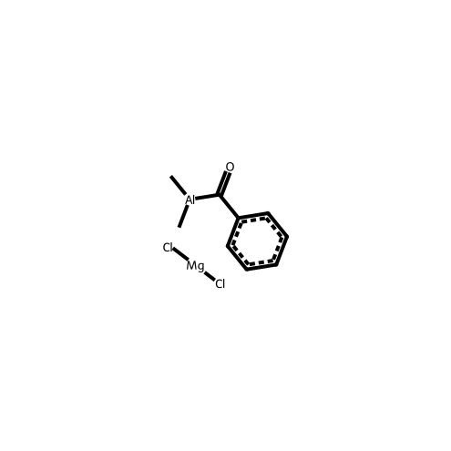 [CH3][Al]([CH3])[C](=O)c1ccccc1.[Cl][Mg][Cl]